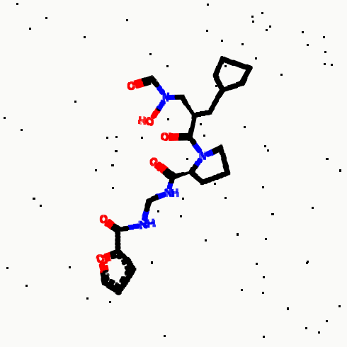 O=CN(O)C[C@@H](CC1CCCC1)C(=O)N1CCC[C@H]1C(=O)NCNC(=O)c1ccco1